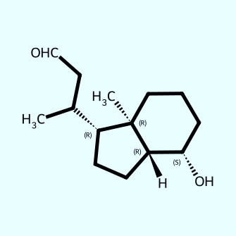 CC(CC=O)[C@H]1CC[C@H]2[C@@H](O)CCC[C@]12C